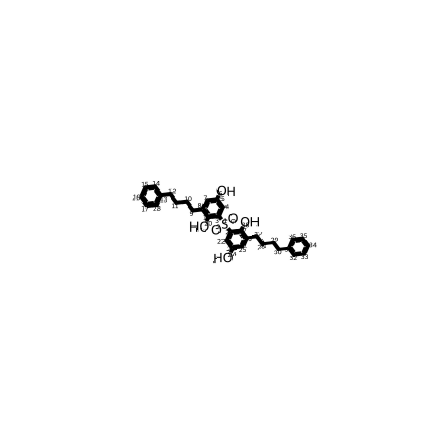 O=S(=O)(c1cc(O)cc(CCCCc2ccccc2)c1O)c1cc(O)cc(CCCCc2ccccc2)c1O